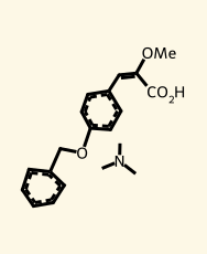 CN(C)C.COC(=Cc1ccc(OCc2ccccc2)cc1)C(=O)O